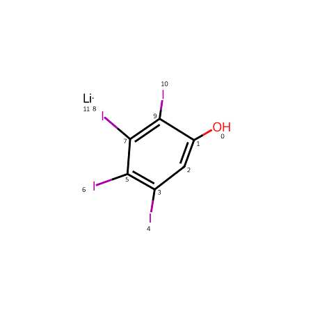 Oc1cc(I)c(I)c(I)c1I.[Li]